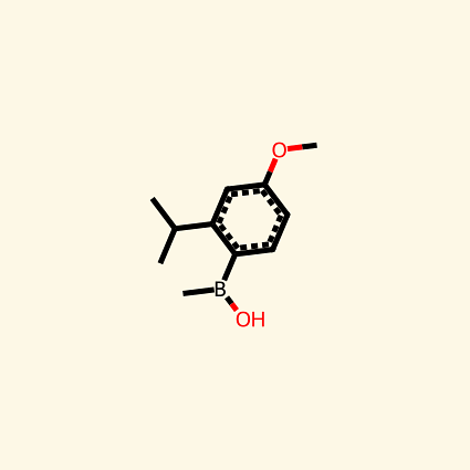 COc1ccc(B(C)O)c(C(C)C)c1